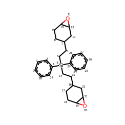 c1ccc([Si](CCC2CCC3OC3C2)(CCC2CCC3OC3C2)c2ccccc2)cc1